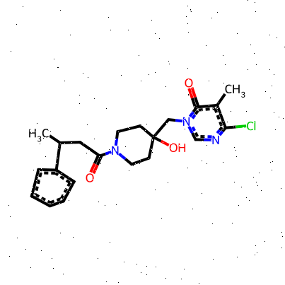 Cc1c(Cl)ncn(CC2(O)CCN(C(=O)CC(C)c3ccccc3)CC2)c1=O